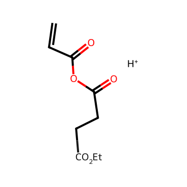 C=CC(=O)OC(=O)CCC(=O)OCC.[H+]